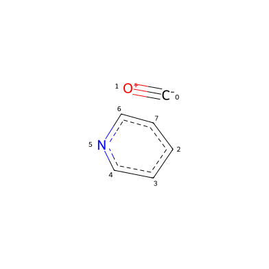 [C-]#[O+].c1ccncc1